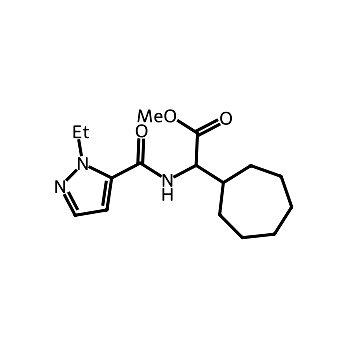 CCn1nccc1C(=O)NC(C(=O)OC)C1CCCCCC1